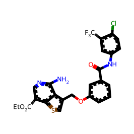 CCOC(=O)c1cnc(N)c2c(COc3cccc(C(=O)Nc4ccc(Cl)c(C(F)(F)F)c4)c3)csc12